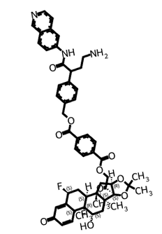 CC1(C)O[C@@H]2C[C@@]3(C)[C@@H]4C[C@H](F)C5=CC(=O)C=C[C@]5(C)[C@@]4(F)[C@@H](O)C[C@]3(C)[C@]2(C(=O)COC(=O)c2ccc(C(=O)OCc3ccc(C(CCN)C(=O)Nc4ccc5cnccc5c4)cc3)cc2)O1